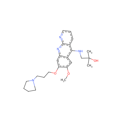 COc1cc2c(NCC(C)(C)O)c3cccnc3nc2cc1OCCCN1CCCC1